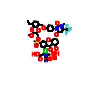 CCc1ccc(COc2ccc(-n3c(=O)cc(C(F)(F)F)n(C)c3=O)cc2)c(OC(C)C(=O)OC)c1.CS(=O)(=O)c1ccc(C(=O)C2C(=O)CCCC2=O)c(Cl)c1.O=C(O)CNCP(=O)(O)O